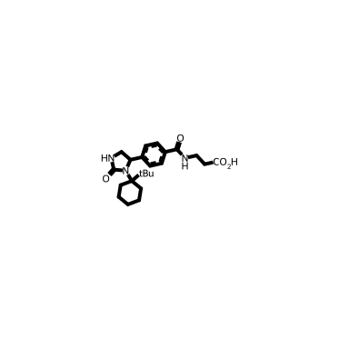 CC(C)(C)C1(N2C(=O)NCC2c2ccc(C(=O)NCCC(=O)O)cc2)CCCCC1